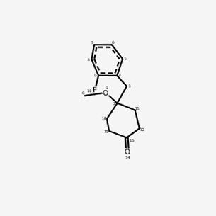 COC1(Cc2ccccc2F)CCC(=O)CC1